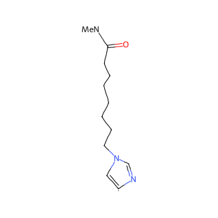 CNC(=O)CCCCCCCn1c[c]nc1